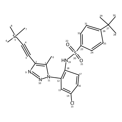 Cc1c(C#C[Si](C)(C)C)nnn1-c1cc(Cl)ccc1NS(=O)(=O)c1ccc(C(C)(C)C)cc1